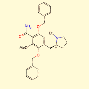 CCN1CCC[C@H]1Cc1cc(OCc2ccccc2)c(C(N)=O)c(OC)c1OCc1ccccc1